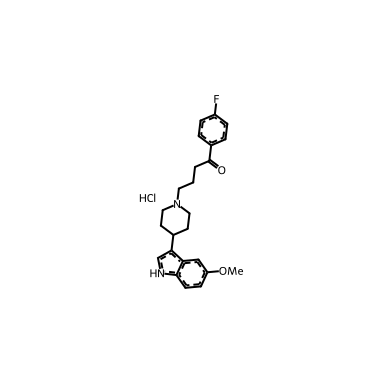 COc1ccc2[nH]cc(C3CCN(CCCC(=O)c4ccc(F)cc4)CC3)c2c1.Cl